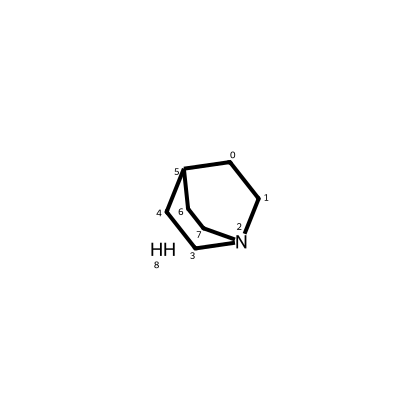 C1CN2CCC1CC2.[HH]